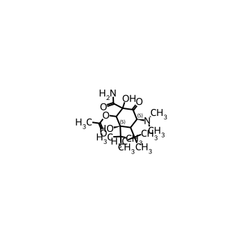 CC(=O)OC1C(O)(C(N)=O)C(=O)[C@@H](N(C)C)C(C(C)(C)C)[C@]1(O)C(C)(C)C